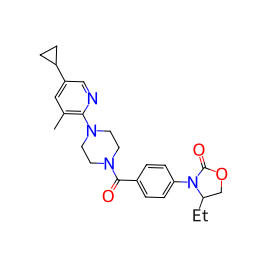 CCC1COC(=O)N1c1ccc(C(=O)N2CCN(c3ncc(C4CC4)cc3C)CC2)cc1